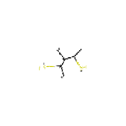 CC(S)C(C)C(C)S